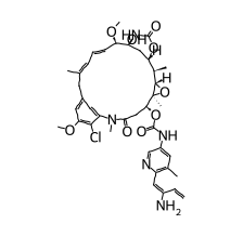 C=C/C(N)=C\c1ncc(NC(=O)O[C@H]2CC(=O)N(C)c3cc(cc(OC)c3Cl)C/C(C)=C/C=C/[C@@H](OC)[C@@]3(O)C[C@H](OC(=O)N3)[C@@H](C)[C@@H]3O[C@@]23C)cc1C